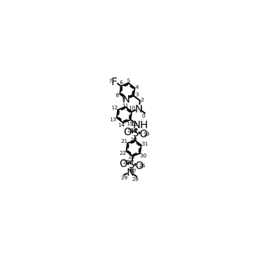 CN(Cc1ccc(F)cn1)c1ccccc1NS(=O)(=O)c1ccc(S(=O)(=O)N(C)C)cc1